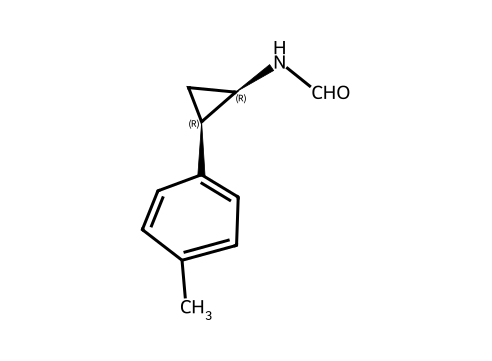 Cc1ccc([C@H]2C[C@H]2NC=O)cc1